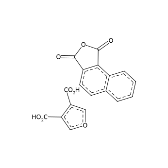 O=C(O)c1cocc1C(=O)O.O=C1OC(=O)c2c1ccc1ccccc21